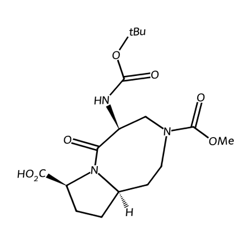 COC(=O)N1CC[C@H]2CC[C@@H](C(=O)O)N2C(=O)[C@@H](NC(=O)OC(C)(C)C)C1